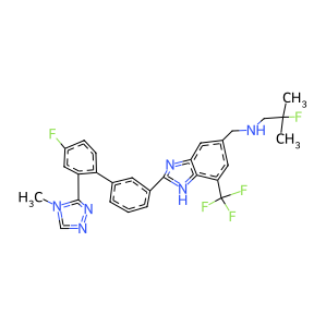 Cn1cnnc1-c1cc(F)ccc1-c1cccc(-c2nc3cc(CNCC(C)(C)F)cc(C(F)(F)F)c3[nH]2)c1